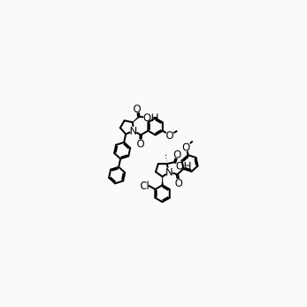 COc1cccc(C(=O)N2C(c3ccc(-c4ccccc4)cc3)CC[C@H]2C(=O)O)c1.COc1cccc(C(=O)N2[C@@H](c3ccccc3Cl)CC[C@@]2(C)C(=O)O)c1